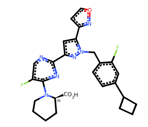 O=C(O)[C@H]1CCCCN1c1nc(-c2cc(-c3ccon3)n(Cc3ccc(C4CCC4)cc3F)n2)ncc1F